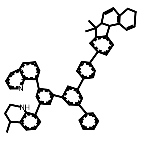 CC1CCNc2c(-c3cc(-c4cc(-c5ccccc5)cc(-c5ccc(-c6ccc7c(c6)C(C)(C)C6C=CC8=C(C=CCC8)C76)cc5)c4)cc(-c4cccc5cccnc45)c3)cccc21